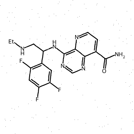 CCNCC(Nc1ncnc2c(C(N)=O)ccnc12)c1cc(F)c(F)cc1F